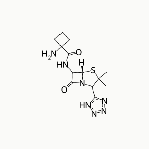 CC1(C)S[C@H]2C(NC(=O)C3(N)CCC3)C(=O)N2C1c1nnn[nH]1